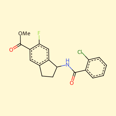 COC(=O)c1cc2c(cc1F)C(NC(=O)c1ccccc1Cl)CC2